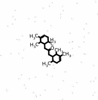 CC1=CCC(C)C(CC(=O)CC2C(C)CC=C(C)C2C)C1C